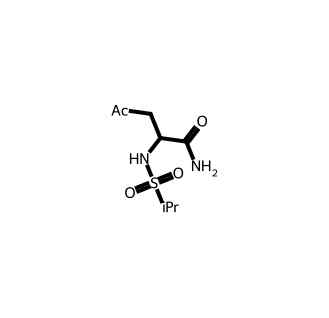 CC(=O)CC(NS(=O)(=O)C(C)C)C(N)=O